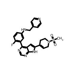 CS(=O)(=O)N1CC=C(c2cc3c(-c4cc(NCc5ccncc5)ccc4F)ncnc3[nH]2)CC1